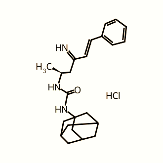 C[C@@H](CC(=N)C=Cc1ccccc1)NC(=O)NC12CC3CC(CC(C3)C1)C2.Cl